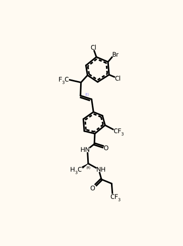 C[C@H](NC(=O)CC(F)(F)F)NC(=O)c1ccc(/C=C/C(c2cc(Cl)c(Br)c(Cl)c2)C(F)(F)F)cc1C(F)(F)F